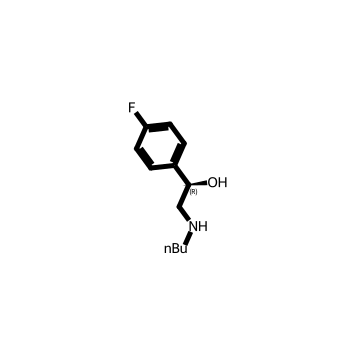 CCCCNC[C@H](O)c1ccc(F)cc1